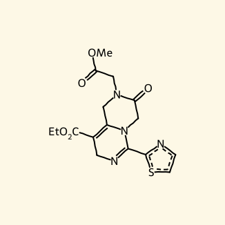 CCOC(=O)C1=C2CN(CC(=O)OC)C(=O)CN2C(c2nccs2)=NC1